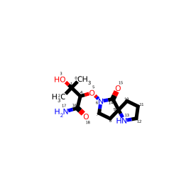 CC(C)(O)C(ON1CCC2(CCCN2)C1=O)C(N)=O